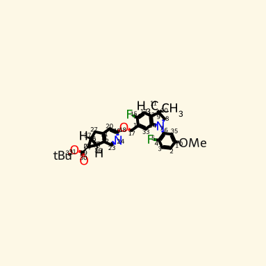 COc1ccc(F)c(N2CC(C)(C)c3cc(F)c(COc4cc5c(cn4)[C@H]4[C@@H](C5)[C@@H]4C(=O)OC(C)(C)C)cc32)c1